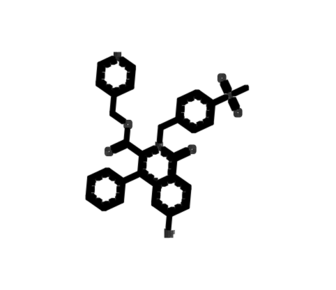 CS(=O)(=O)c1ccc(Cn2c(C(=O)OCc3ccncc3)c(-c3ccccc3)c3cc(Br)ccc3c2=O)cc1